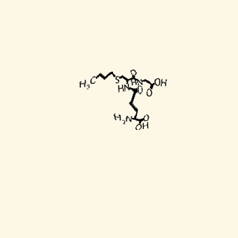 CCCCSCC(NC(=O)CCC(N)C(=O)O)C(=O)NCC(=O)O